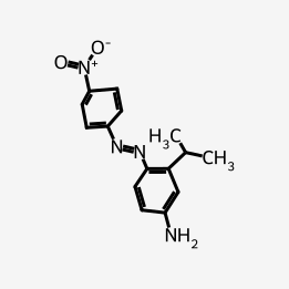 CC(C)c1cc(N)ccc1N=Nc1ccc([N+](=O)[O-])cc1